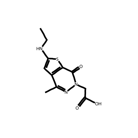 CCNc1cc2c(C)nn(CC(=O)O)c(=O)c2s1